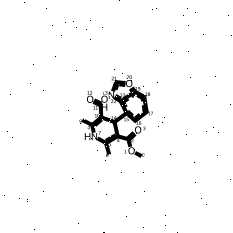 COC(=O)C1=C(C)NC(C)=C(C(=O)O)C1c1cccc2ocnc12